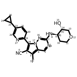 N#Cc1c(F)c2cnc(N[C@@H]3CCOC[C@H]3O)nn2c1-c1ccc(C2CC2)cn1